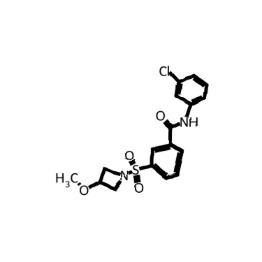 COC1CN(S(=O)(=O)c2cccc(C(=O)Nc3cccc(Cl)c3)c2)C1